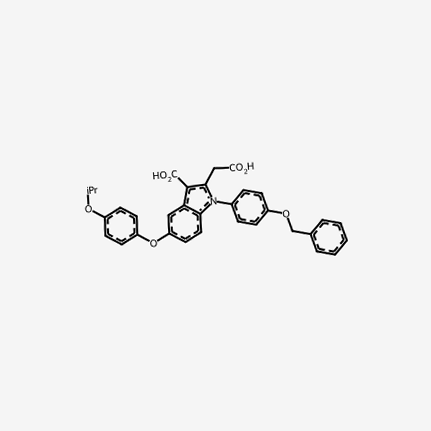 CC(C)Oc1ccc(Oc2ccc3c(c2)c(C(=O)O)c(CC(=O)O)n3-c2ccc(OCc3ccccc3)cc2)cc1